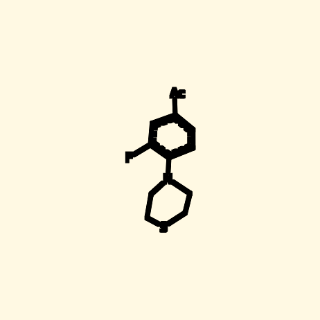 CC(=O)c1ccc(N2CCSCC2)c(F)c1